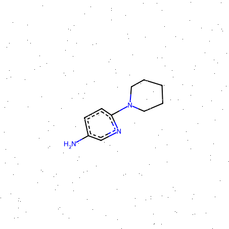 Nc1ccc(N2CC[CH]CC2)nc1